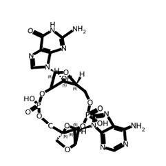 Nc1nc2c(ncn2[C@@H]2O[C@@H]3COP(=O)(O)O[C@@H]4C5OC[C@]4(COP(=O)(O)OC2[C@H]3O)O[C@H]5n2cnc3c(N)ncnc32)c(=O)[nH]1